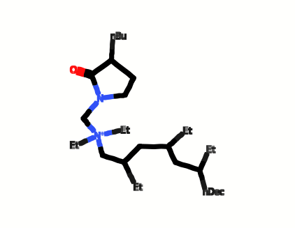 CCCCCCCCCCC(CC)CC(CC)CC(CC)C[N+](CC)(CC)CN1CCC(CCCC)C1=O